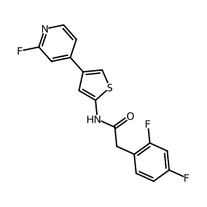 O=C(Cc1ccc(F)cc1F)Nc1cc(-c2ccnc(F)c2)cs1